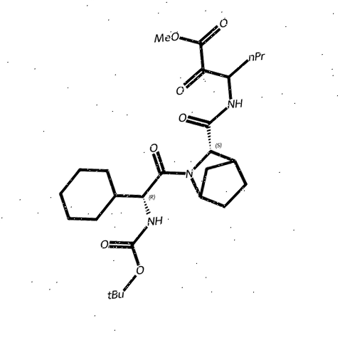 CCCC(NC(=O)[C@@H]1C2CCC(C2)N1C(=O)[C@H](NC(=O)OC(C)(C)C)C1CCCCC1)C(=O)C(=O)OC